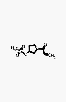 C=CC(=O)N1CCC(OS(C)(=O)=O)C1